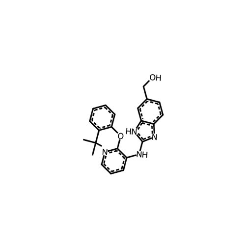 CC(C)(C)c1ccccc1Oc1ncccc1Nc1nc2ccc(CO)cc2[nH]1